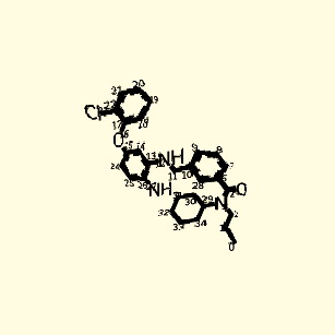 CCCN(C(=O)c1cccc(CNc2cc(Oc3ccccc3Cl)ccc2N)c1)C1CCCCC1